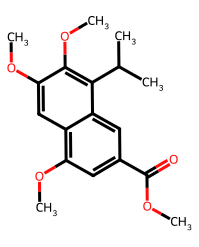 COC(=O)c1cc(OC)c2cc(OC)c(OC)c(C(C)C)c2c1